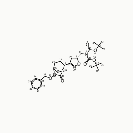 CC(C)(C)OC(=O)N(C[C@H]1CC([C@@H]2CCC3CN2C(=O)N3OCc2ccccc2)=NO1)C(=O)OC(C)(C)C